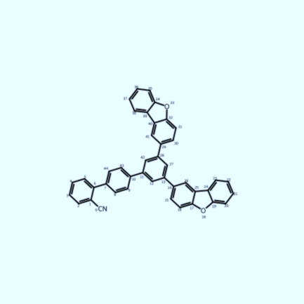 N#Cc1ccccc1-c1ccc(-c2cc(-c3ccc4oc5ccccc5c4c3)cc(-c3ccc4oc5ccccc5c4c3)c2)cc1